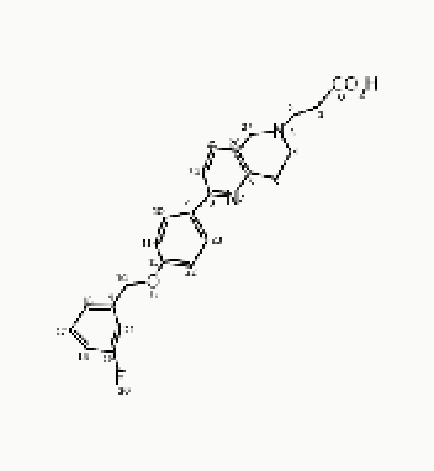 O=C(O)CCN1CCc2nc(-c3ccc(OCc4cccc(F)c4)cc3)ccc2C1